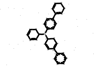 C1=CCC(N(c2ccc(C3=CCCC=C3)cc2)C2C=CC(c3ccccc3)=CC2)C=C1